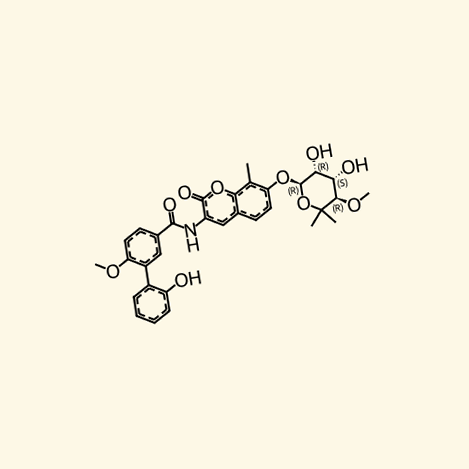 COc1ccc(C(=O)Nc2cc3ccc(O[C@@H]4OC(C)(C)[C@H](OC)[C@@H](O)[C@H]4O)c(C)c3oc2=O)cc1-c1ccccc1O